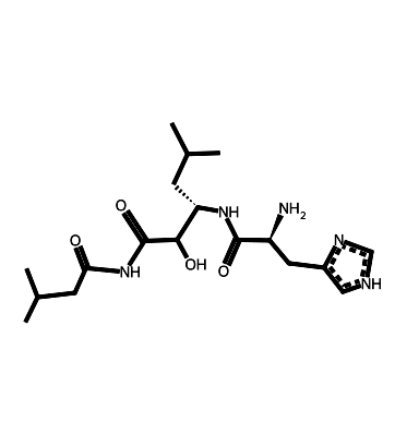 CC(C)CC(=O)NC(=O)C(O)[C@H](CC(C)C)NC(=O)[C@@H](N)Cc1c[nH]cn1